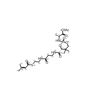 COC(=O)[C@H](C)NP1(=O)OCC(C)(C)[C@H](C(=O)NCCC(=O)NCCSC(=O)C=C(C)C)O1